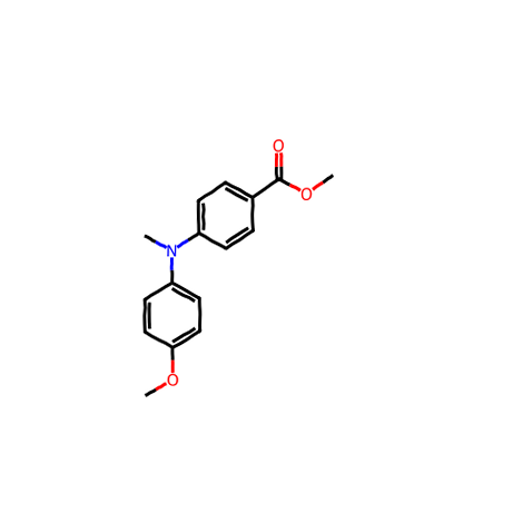 COC(=O)c1ccc(N(C)c2ccc(OC)cc2)cc1